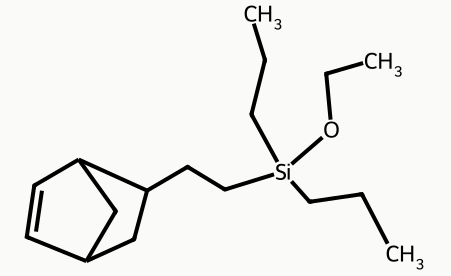 CCC[Si](CCC)(CCC1CC2C=CC1C2)OCC